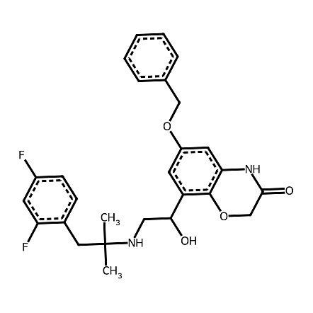 CC(C)(Cc1ccc(F)cc1F)NCC(O)c1cc(OCc2ccccc2)cc2c1OCC(=O)N2